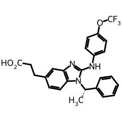 C[C@@H](c1ccccc1)n1c(Nc2ccc(OC(F)(F)F)cc2)nc2cc(CCC(=O)O)ccc21